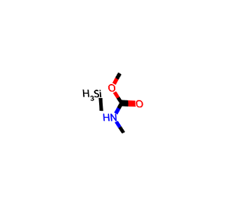 CNC(=O)OC.C[SiH3]